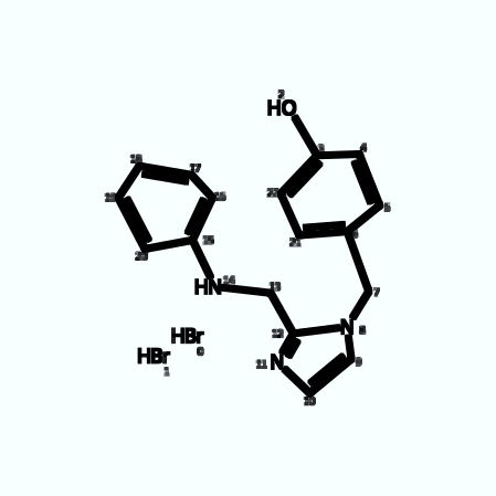 Br.Br.Oc1ccc(Cn2ccnc2CNc2ccccc2)cc1